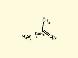 C=C[SiH3].[GeH4].[SnH4]